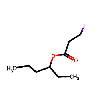 CCCC(CC)OC(=O)CCI